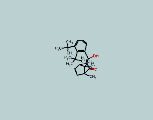 CC(C)(C)c1cccc(C(O)=C2C(=O)C3(C)CCC2C3(C)C)c1C(C)(C)C